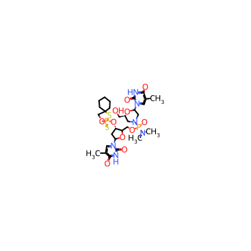 Cc1cn(C2C[C@H](OP3(=S)OCC4(CCCCC4)S3)C(COP(=O)(N(C)C)N3CC(n4cc(C)c(=O)[nH]c4=O)O[C@H](CO)C3)O2)c(=O)[nH]c1=O